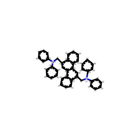 c1ccc(N(Cc2cc3c4ccccc4c(CN(c4ccccc4)c4ccccc4)cc3c3ccccc23)c2ccccc2)cc1